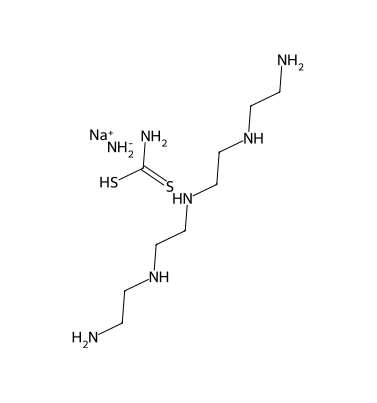 NC(=S)S.NCCNCCNCCNCCN.[NH2-].[Na+]